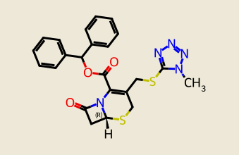 Cn1nnnc1SCC1=C(C(=O)OC(c2ccccc2)c2ccccc2)N2C(=O)C[C@H]2SC1